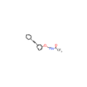 O=C(NCCOc1cccc(C#Cc2ccccc2)c1)C(F)(F)F